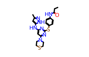 CCC(=O)Nc1ccc(Sc2nc(Nc3cc(C)n[nH]3)cc(N3CCSCC3)n2)cc1